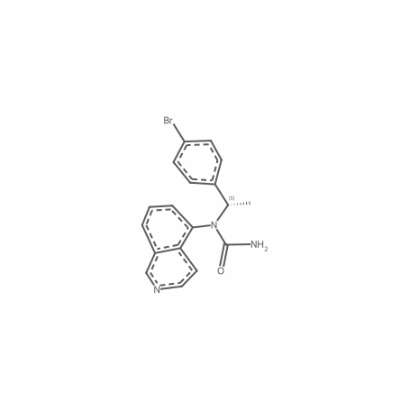 C[C@@H](c1ccc(Br)cc1)N(C(N)=O)c1cccc2cnccc12